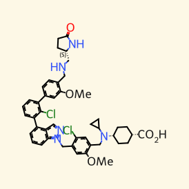 COc1cc(-c2cccc(-c3cccc4c3cnn4Cc3cc(OC)c(CN(C4CC4)[C@H]4CC[C@@H](C(=O)O)CC4)cc3Cl)c2Cl)ccc1CNC[C@@H]1CCC(=O)N1